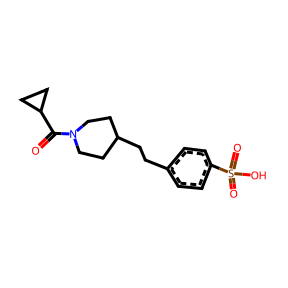 O=C(C1CC1)N1CCC(CCc2ccc(S(=O)(=O)O)cc2)CC1